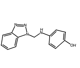 Oc1ccc(NCn2nnc3ccccc32)cc1